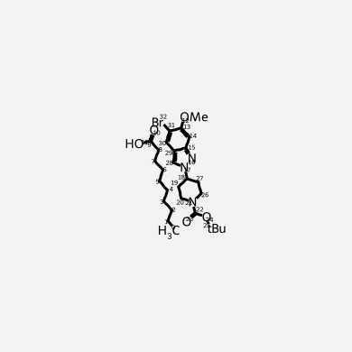 CCCCCCCCCC(=O)O.COc1cc2nn(C3CCN(C(=O)OC(C)(C)C)CC3)cc2cc1Br